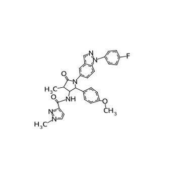 COc1ccc(C2C(NC(=O)c3ccn(C)n3)C(C)C(=O)N2c2ccc3c(cnn3-c3ccc(F)cc3)c2)cc1